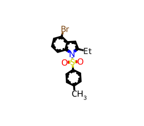 CCc1cc2c(Br)cccc2n1S(=O)(=O)c1ccc(C)cc1